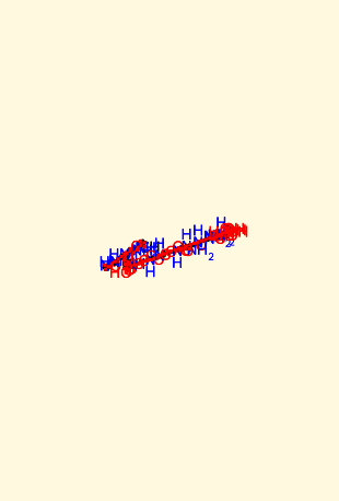 Cc1ccccc1NC(=O)Nc1ccc(CC(=O)N[C@@H](CCCCNC(=O)CCc2cccnc2)C(=O)N[C@@H](CCCC(=O)O)C(=O)NC2(C(=O)NCCOCCOCCNC(=O)CCC(=O)NCCOCCOCCNC(=O)CCC(=O)N[C@@H](CCCCNC(=O)CCCCN(N)/C=C(\N)COC(=O)NCCCC(O)(P(=O)(O)O)P(=O)(O)O)C(N)=O)CCCCC2)cc1